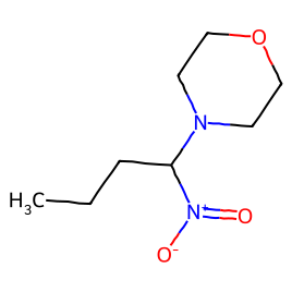 CCCC(N1CCOCC1)[N+](=O)[O-]